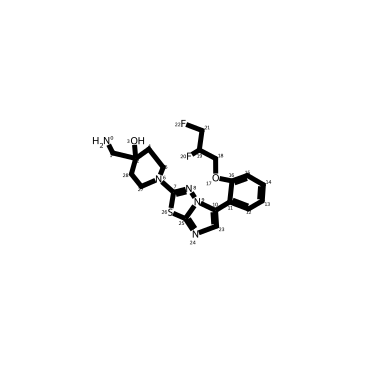 NCC1(O)CCN(c2nn3c(-c4ccccc4OCC(F)CF)cnc3s2)CC1